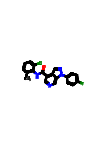 Cc1cccc(Cl)c1NC(=O)c1cncc2c1cnn2-c1ccc(F)cc1